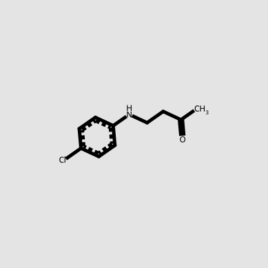 CC(=O)CCNc1ccc(Cl)cc1